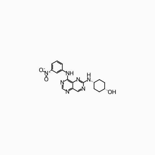 O=[N+]([O-])c1cccc(Nc2ncnc3cnc(N[C@H]4CC[C@@H](O)CC4)nc23)c1